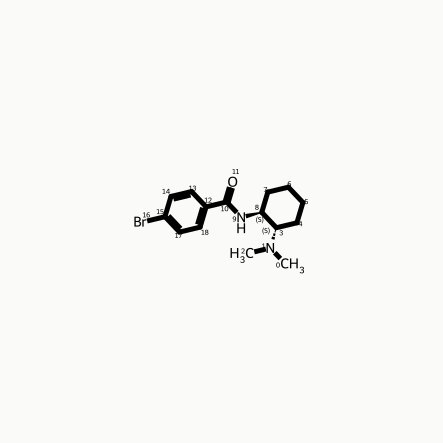 CN(C)[C@H]1CCCC[C@@H]1NC(=O)c1ccc(Br)cc1